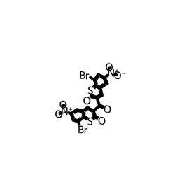 O=C(c1cc2cc([N+](=O)[O-])cc(Br)c2sc1=O)c1cc2cc([N+](=O)[O-])cc(Br)c2sc1=O